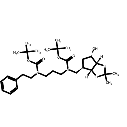 CC(C)(C)OC(=O)N(CCCN(C[C@H]1C[C@H](O)[C@@H]2OC(C)(C)O[C@H]12)C(=O)OC(C)(C)C)CCc1ccccc1